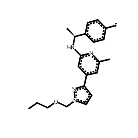 CCCOCn1ccc(-c2cc(C)nc(N[C@@H](C)c3ccc(F)cc3)c2)n1